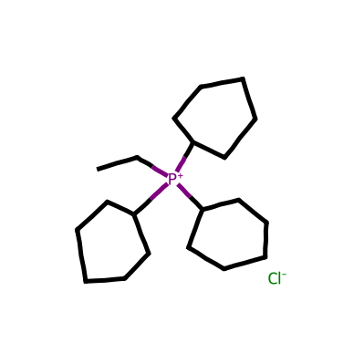 CC[P+](C1CCCCC1)(C1CCCCC1)C1CCCCC1.[Cl-]